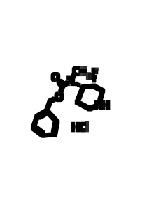 CN(C(=O)OCc1ccccc1)[C@H]1CCNC[C@H]1F.Cl